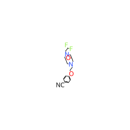 N#Cc1ccc(OCCN2CC3CN(CC(F)F)CC(C2)O3)cc1